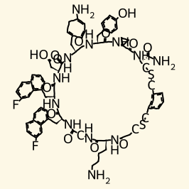 NCCCC[C@@H]1NC(=O)CCSCc2cccc(c2)CSC[C@@H](C(N)=O)NC(=O)C2(CC2)NC(=O)[C@H](Cc2ccc(O)cc2)NC(=O)[C@H](CC2=CCC(N)=CC=C2)NC(=O)[C@H](CC(=O)O)NC(=O)[C@H](Cc2cccc3ccc(F)cc23)NC(=O)[C@H](Cc2cccc3ccc(F)cc23)NC(=O)CNC1=O